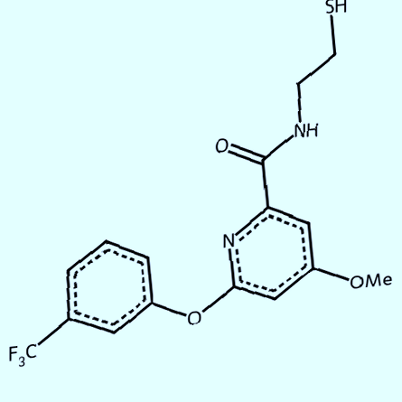 COc1cc(Oc2cccc(C(F)(F)F)c2)nc(C(=O)NCCS)c1